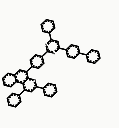 c1ccc(-c2ccc(-c3cc(-c4ccccc4)nc(-c4ccc(-c5cc6ccccc6c6c(-c7ccccc7)cc(-c7ccccc7)nc56)cc4)n3)cc2)cc1